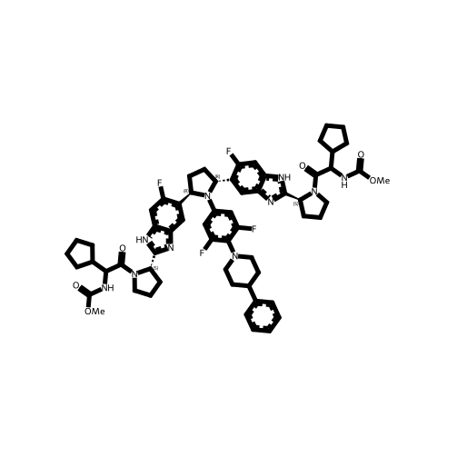 COC(=O)NC(C(=O)N1CCC[C@H]1c1nc2cc([C@H]3CC[C@H](c4cc5nc([C@@H]6CCCN6C(=O)C(NC(=O)OC)C6CCCC6)[nH]c5cc4F)N3c3cc(F)c(N4CCC(c5ccccc5)CC4)c(F)c3)c(F)cc2[nH]1)C1CCCC1